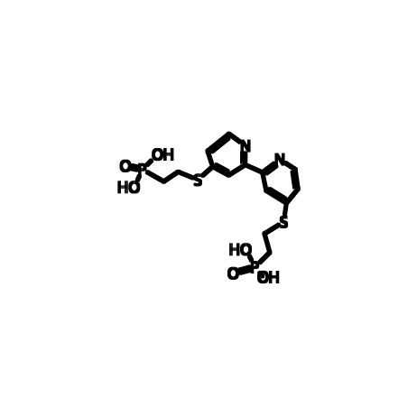 O=P(O)(O)CCSc1ccnc(-c2cc(SCCP(=O)(O)O)ccn2)c1